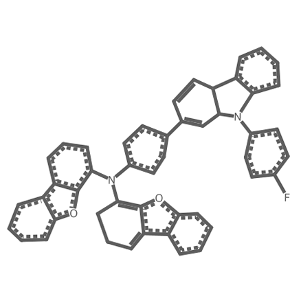 Fc1ccc(N2c3ccccc3C3C=CC(c4ccc(N(C5=c6oc7ccccc7c6=CCC5)c5cccc6c5oc5ccccc56)cc4)=CC32)cc1